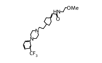 COCCNC(=O)C=C1CCC(CCN2CCN(c3cccc(C(F)(F)F)c3)CC2)CC1